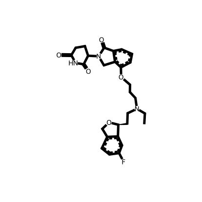 CCN(CCCOc1cccc2c1CN(C1CCC(=O)NC1=O)C2=O)CC[C@@H]1OCc2ccc(F)cc21